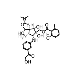 Cc1cccc(O)c1C(=O)OC[C@@]1(O)[C@@H](Nc2cccc(C(=O)CO)c2)[C@H](N)[C@@](NC(=O)N(C)C)(C(C)O)[C@@]1(C)O